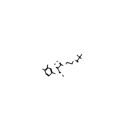 C/N=C(\Nc1ccc(F)c(Cl)c1)c1nonc1OCCNC(=O)C(C)(C)C(=O)O